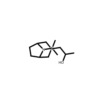 CC(O)CN1CC2CCC(C1)N2N(C)C